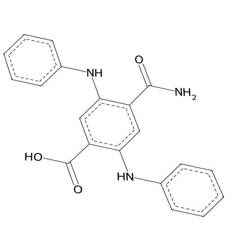 NC(=O)c1cc(Nc2ccccc2)c(C(=O)O)cc1Nc1ccccc1